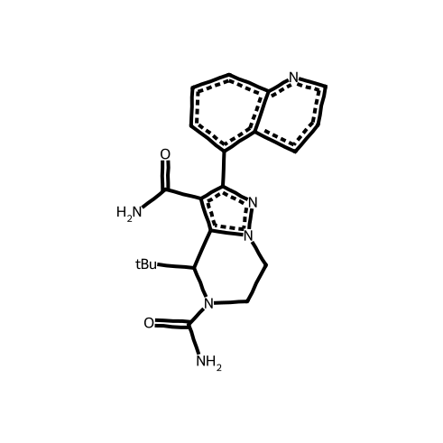 CC(C)(C)C1c2c(C(N)=O)c(-c3cccc4ncccc34)nn2CCN1C(N)=O